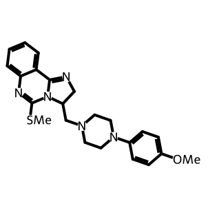 COc1ccc(N2CCN(CC3CN=C4c5ccccc5N=C(SC)N43)CC2)cc1